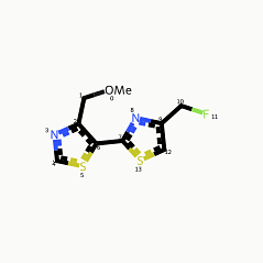 COCc1n[c]sc1-c1nc(CF)cs1